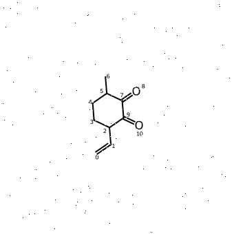 C=CC1CCC(C)C(=O)C1=O